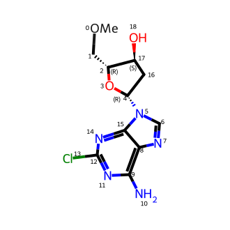 COC[C@H]1O[C@@H](n2cnc3c(N)nc(Cl)nc32)C[C@@H]1O